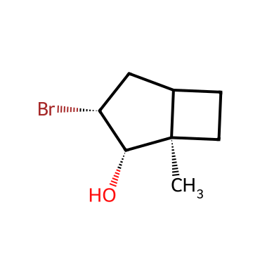 C[C@@]12CCC1C[C@@H](Br)[C@H]2O